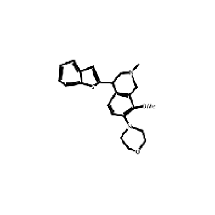 COc1c(N2CCOCC2)ccc2c1CN(C)CC2c1cc2ccccc2s1